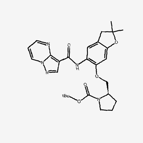 CC(C)(C)OC(=O)N1CCC[C@@H]1COc1cc2c(cc1NC(=O)c1cnn3cccnc13)CC(C)(C)O2